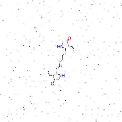 C=CC1C(=O)CNC1CCCCCCC1NCC(=O)C1C=C